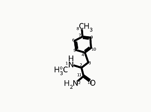 CNC(Cc1ccc(C)cc1)C(N)=O